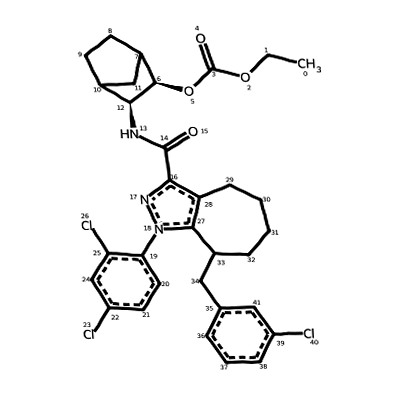 CCOC(=O)O[C@@H]1C2CCC(C2)[C@@H]1NC(=O)c1nn(-c2ccc(Cl)cc2Cl)c2c1CCCCC2Cc1cccc(Cl)c1